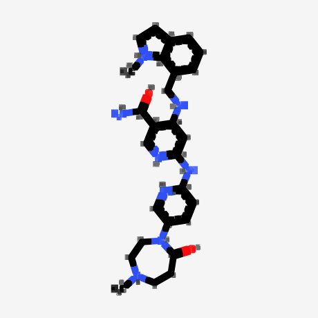 CN1CCC(=O)N(c2ccc(Nc3cc(NCc4cccc5ccn(C)c45)c(C(N)=O)cn3)nc2)CC1